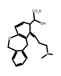 CN(C)CC/C=C1\C2=C(C=CC1C(O)C(=O)O)OCc1ccccc1C2